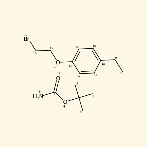 CC(C)(C)OC(N)=O.CCc1ccc(OCCBr)cc1